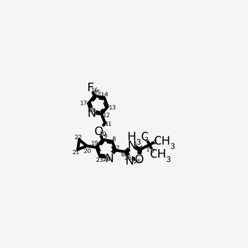 CC(C)(C)c1nc(-c2cc(OCc3ccc(F)cn3)c(C3CC3)cn2)no1